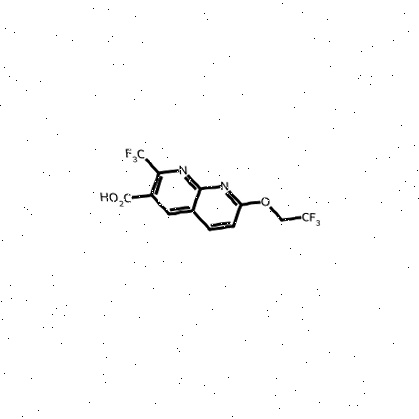 O=C(O)c1cc2ccc(OCC(F)(F)F)nc2nc1C(F)(F)F